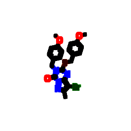 COc1ccc(CSc2nc3c(Br)c(C)nn3c(=O)n2Cc2ccc(OC)cc2)cc1